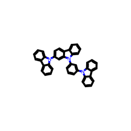 c1cc(-n2c3ccccc3c3ccccc32)cc(-n2c3ccccc3c3ccc(-n4c5ccccc5c5ccccc54)cc32)c1